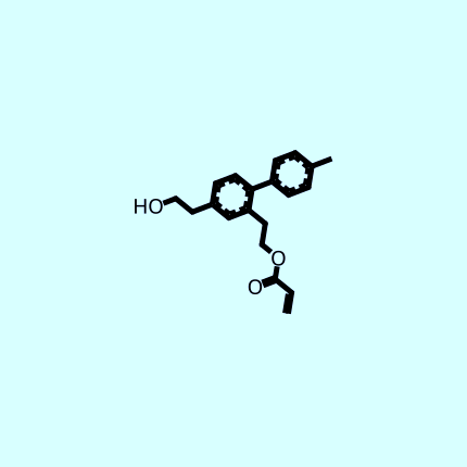 C=CC(=O)OCCc1cc(CCO)ccc1-c1ccc(C)cc1